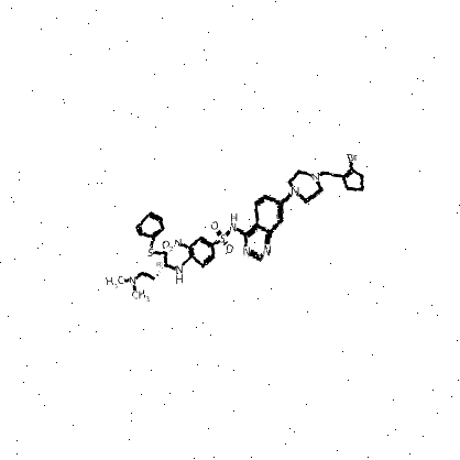 CN(C)CC[C@H](CSc1ccccc1)Nc1ccc(S(=O)(=O)Nc2ncnc3cc(N4CCN(CC5=C(Br)CCC5)CC4)ccc23)cc1[N+](=O)[O-]